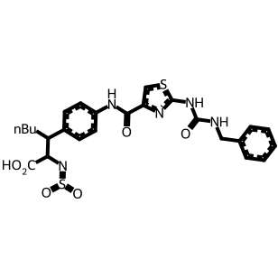 CCCCC(c1ccc(NC(=O)c2csc(NC(=O)NCc3ccccc3)n2)cc1)C(N=S(=O)=O)C(=O)O